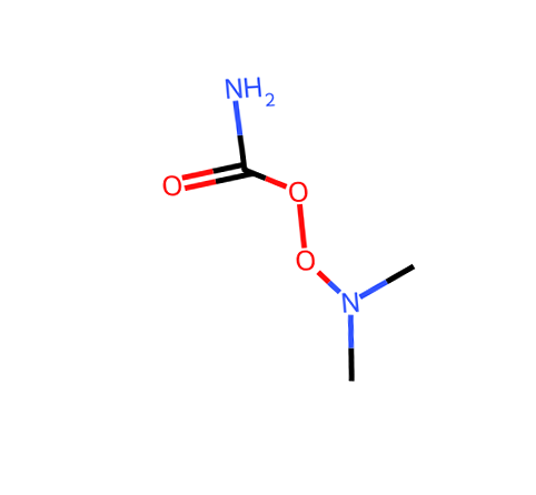 CN(C)OOC(N)=O